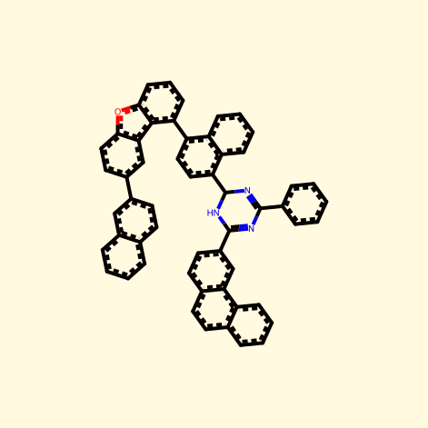 c1ccc(C2=NC(c3ccc(-c4cccc5oc6ccc(-c7ccc8ccccc8c7)cc6c45)c4ccccc34)NC(c3ccc4ccc5ccccc5c4c3)=N2)cc1